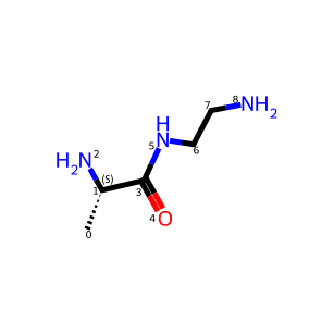 C[C@H](N)C(=O)NCCN